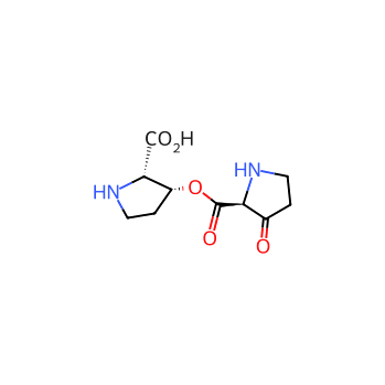 O=C1CCN[C@@H]1C(=O)O[C@@H]1CCN[C@@H]1C(=O)O